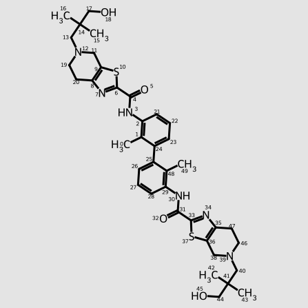 Cc1c(NC(=O)c2nc3c(s2)CN(CC(C)(C)CO)CC3)cccc1-c1cccc(NC(=O)c2nc3c(s2)CN(CC(C)(C)CO)CC3)c1C